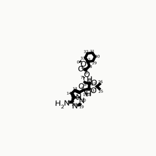 COC1(CC(=O)OC[C@H]2O[C@@](C)(c3ccc4c(N)ncnn34)[C@@H]3OC(C)(C)O[C@@H]32)CCCCC1